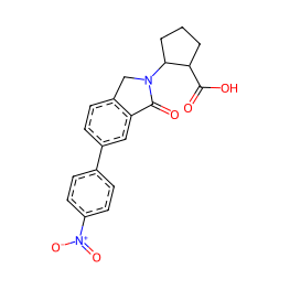 O=C(O)C1CCCC1N1Cc2ccc(-c3ccc([N+](=O)[O-])cc3)cc2C1=O